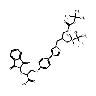 CC(C)(C)OC(=O)NCC(Cn1cc(-c2ccc(OCC(ON3C(=O)c4ccccc4C3=O)C(=O)O)cc2)cn1)O[Si](C)(C)C(C)(C)C